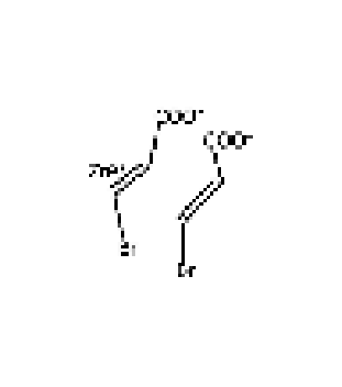 O=C([O-])C=CBr.O=C([O-])C=CBr.[Zn+2]